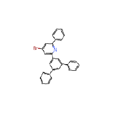 Brc1cc(-c2ccccc2)nc(-c2cc(-c3ccccc3)cc(-c3ccccc3)c2)c1